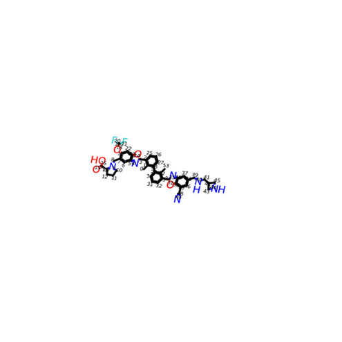 Cc1c(-c2nc3cc(CN4CCC[C@H]4C(=O)O)c(OC(F)F)cc3o2)cccc1-c1cccc(-c2nc3cc(CNCC4CNC4)cc(C#N)c3o2)c1C